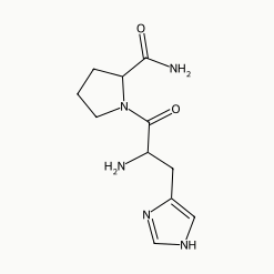 NC(=O)C1CCCN1C(=O)C(N)Cc1c[nH]cn1